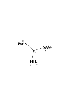 CSC(N)SC